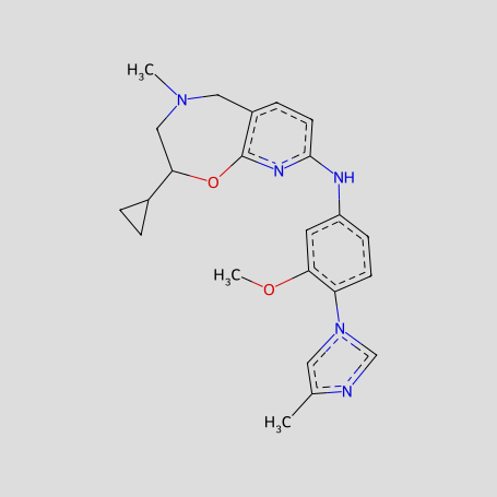 COc1cc(Nc2ccc3c(n2)OC(C2CC2)CN(C)C3)ccc1-n1cnc(C)c1